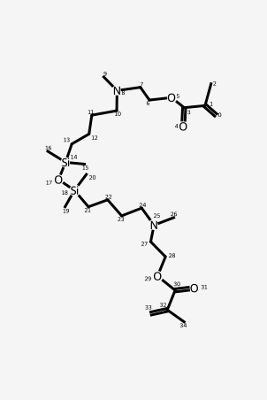 C=C(C)C(=O)OCCN(C)CCCC[Si](C)(C)O[Si](C)(C)CCCCN(C)CCOC(=O)C(=C)C